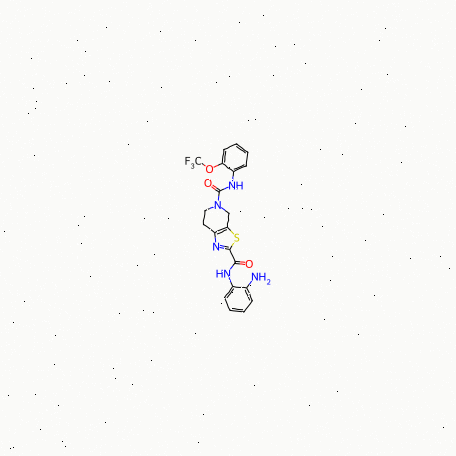 Nc1ccccc1NC(=O)c1nc2c(s1)CN(C(=O)Nc1ccccc1OC(F)(F)F)CC2